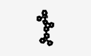 c1ccc(-n2c(-c3ccc4c5ccc(-c6ccc7c(c6)c6ccccc6n7-c6ccccc6)cc5c5ccccc5c4c3)nc3ccccc32)cc1